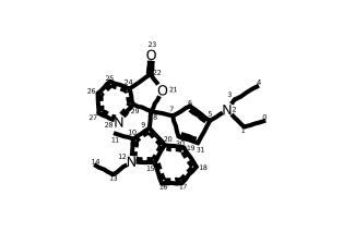 CCN(CC)C1=CC(C2(c3c(C)n(CC)c4ccccc34)OC(=O)c3cccnc32)C=C1